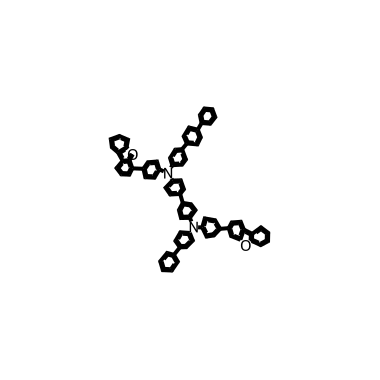 c1ccc(-c2ccc(-c3ccc(N(c4ccc(-c5ccc(N(c6ccc(-c7ccccc7)cc6)c6ccc(-c7ccc8c(c7)oc7ccccc78)cc6)cc5)cc4)c4ccc(-c5cccc6c5oc5ccccc56)cc4)cc3)cc2)cc1